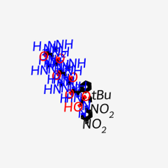 CC(C)(C)CCN(c1ncc([N+](=O)[O-])cc1[N+](=O)[O-])C(O)C(=O)NC(C(=O)NC(NC(=N)N)C(=O)NC(NC(=N)N)C(=O)NC(NC(=N)N)C(=O)NC(NC(=N)N)C(N)=O)c1ccccc1